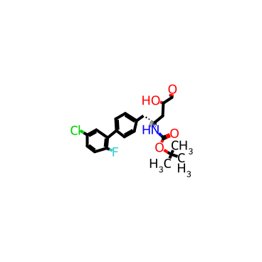 CC(C)(C)OC(=O)N[C@H](Cc1ccc(-c2cc(Cl)ccc2F)cc1)CC(O)C=O